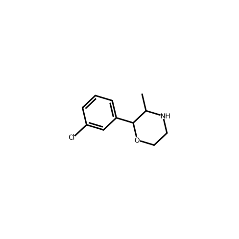 CC1NCCOC1c1cccc(Cl)c1